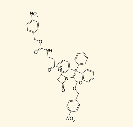 O=C(NCCC(=O)S[C@H]1CC(=O)N1C(C(=O)OCc1ccc([N+](=O)[O-])cc1)=P(c1ccccc1)(c1ccccc1)c1ccccc1)OCc1ccc([N+](=O)[O-])cc1